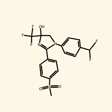 CS(=O)(=O)c1ccc(C2=NC(O)(C(F)(F)F)CN2c2ccc(C(F)F)cc2)cc1